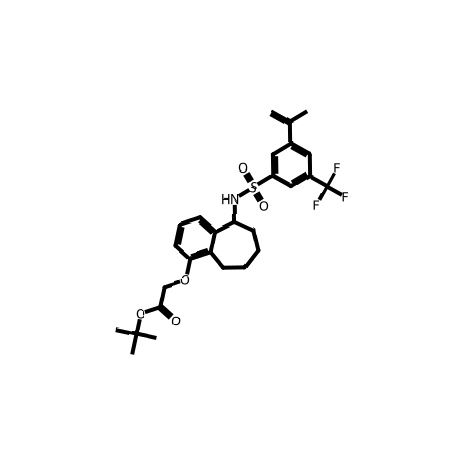 C=C(C)c1cc(C(F)(F)F)cc(S(=O)(=O)NC2CCCCc3c(OCC(=O)OC(C)(C)C)cccc32)c1